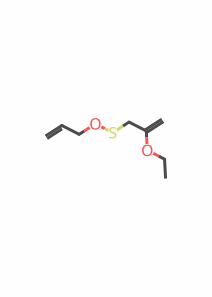 C=CCOSCC(=C)OCC